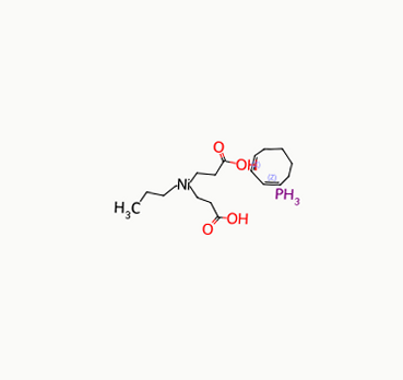 C1=C\CCCC\C=C/1.CCC[CH2][Ni]([CH2]CC(=O)O)[CH2]CC(=O)O.P